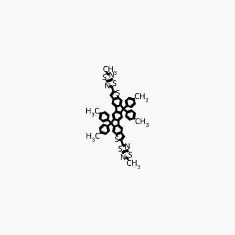 Cc1ccc(C2(c3ccc(C)cc3)c3cc4c(cc3-c3cc5cc(-c6nc7sc(C)nc7s6)sc5cc32)C(c2ccc(C)cc2)(c2ccc(C)cc2)c2cc3sc(-c5nc6sc(C)nc6s5)cc3cc2-4)cc1